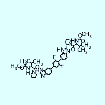 COC(=O)N[C@H](C(=O)N1CCC[C@H]1c1nc2ccc(-c3cc(F)c(-c4ccc5nc([C@@H]6CCCN6C(=O)[C@@H](NC(=O)OC)C(C)C)[nH]c5c4)c(F)c3)cc2[nH]1)C(C)C